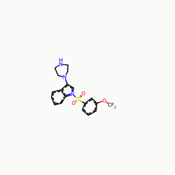 O=S(=O)(c1cccc(OC(F)(F)F)c1)n1cc(N2CCNCC2)c2ccccc21